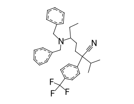 CCC(CCC(C#N)(c1ccc(C(F)(F)F)cc1)C(C)C)N(Cc1ccccc1)Cc1ccccc1